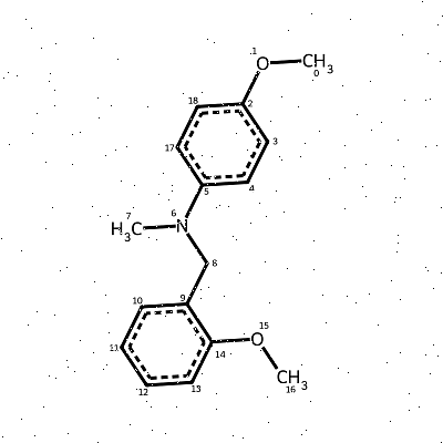 COc1ccc(N(C)Cc2ccccc2OC)cc1